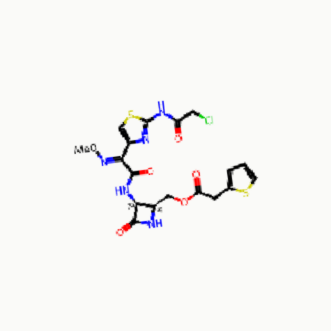 CON=C(C(=O)N[C@@H]1C(=O)N[C@@H]1COC(=O)Cc1cccs1)c1csc(NC(=O)CCl)n1